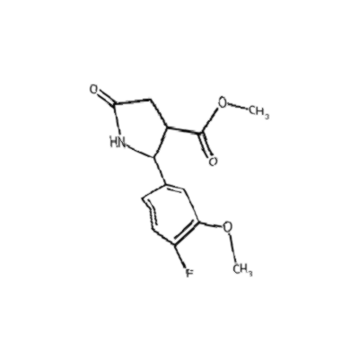 COC(=O)C1CC(=O)NC1c1ccc(F)c(OC)c1